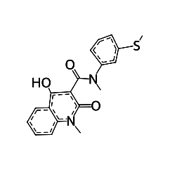 CSc1cccc(N(C)C(=O)c2c(O)c3ccccc3n(C)c2=O)c1